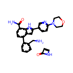 NCc1ccccc1-c1ccc(C(N)=O)c2[nH]c(-c3ccc(N4CCOCC4)nc3)cc12.O=C1C=CN1